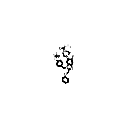 CC(=O)N1CCN(c2cc3c(cc2F)nc(COc2ccccc2)n3Cc2ccc(OC(F)(F)F)cc2)CC1